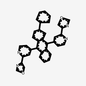 c1ccc(-c2ccc3c(-c4ccnc(-c5cocn5)c4)c4ccccc4c(-c4ccnc(-c5cocn5)c4)c3c2)cc1